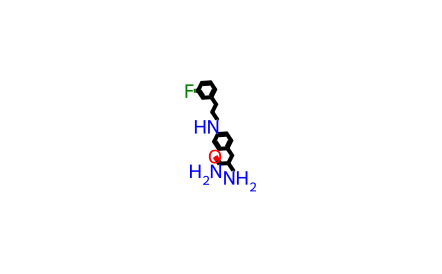 NCC(Cc1ccc(NCCCc2cccc(F)c2)cc1)C(N)=O